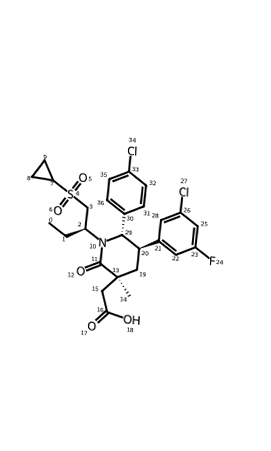 CC[C@@H](CS(=O)(=O)C1CC1)N1C(=O)[C@](C)(CC(=O)O)C[C@H](c2cc(F)cc(Cl)c2)[C@H]1c1ccc(Cl)cc1